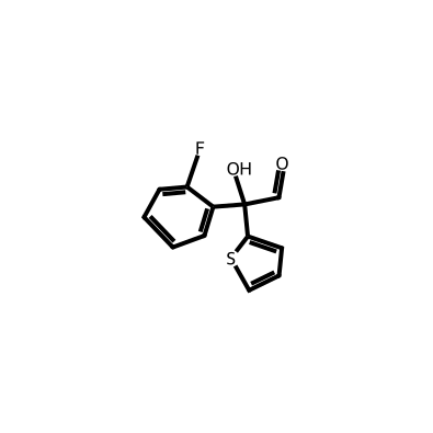 O=CC(O)(c1cccs1)c1ccccc1F